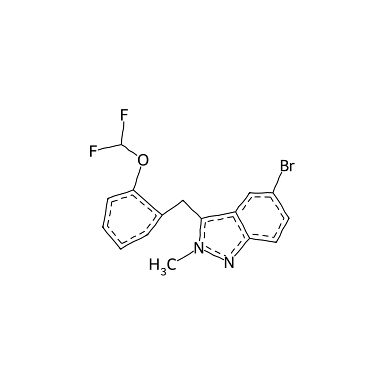 Cn1nc2ccc(Br)cc2c1Cc1ccccc1OC(F)F